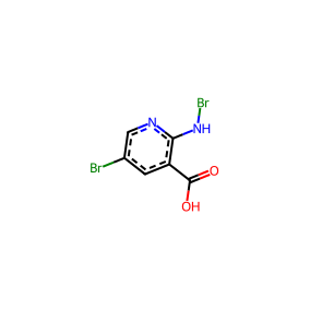 O=C(O)c1cc(Br)cnc1NBr